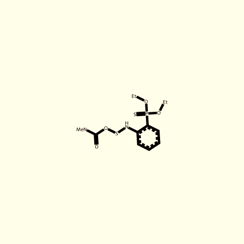 CCOP(=S)(OCC)c1ccccc1NSOC(=O)NC